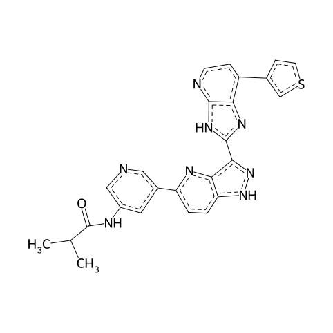 CC(C)C(=O)Nc1cncc(-c2ccc3[nH]nc(-c4nc5c(-c6ccsc6)ccnc5[nH]4)c3n2)c1